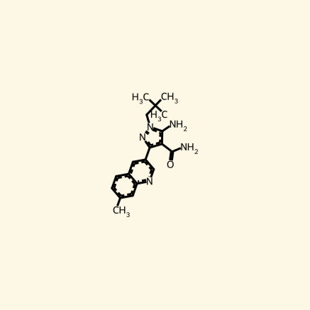 Cc1ccc2cc(-c3nn(CC(C)(C)C)c(N)c3C(N)=O)cnc2c1